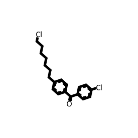 O=C(c1ccc(Cl)cc1)c1ccc(CCCCCCCCl)cc1